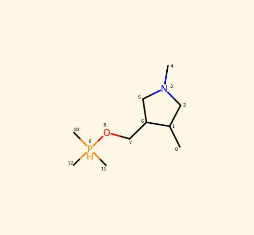 CC1CN(C)CC1CO[PH](C)(C)C